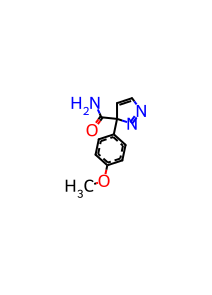 COc1ccc(C2(C(N)=O)C=CN=N2)cc1